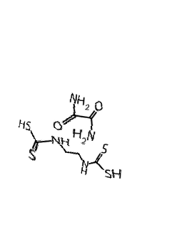 NC(=O)C(N)=O.S=C(S)NCCNC(=S)S